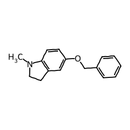 CN1CCc2cc(OCc3ccccc3)ccc21